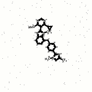 COc1ncnc(C2CC2)c1-c1nc2cccc(Cc3ccc(-c4nc(C(F)(F)F)cn4C)cc3)c2n1C